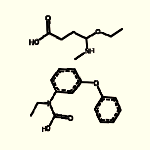 CCN(C(=O)O)c1cccc(Oc2ccccc2)c1.CCOC(CCC(=O)O)NC